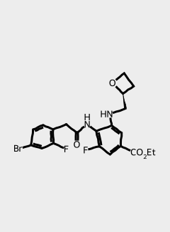 CCOC(=O)c1cc(F)c(NC(=O)Cc2ccc(Br)cc2F)c(NC[C@@H]2CCO2)c1